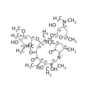 CC[C@H]1C(=O)C(=O)[C@H](C)[C@@H](O[C@H]2C[C@@](C)(OC)[C@@H](O)[C@H](C)O2)[C@H](C)[C@@H](O[C@@H]2O[C@H](C)C[C@H](N(C)C)[C@H]2O)[C@@]2(C)C[C@@H](C)/C(=N/[C@H](C)[C@@H](O)[C@@]1(C)O)C2=O